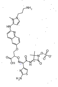 C[n+]1c(Nc2ccc3cc(OCC(O/N=C(\C(=O)N[C@@H]4C(=O)N(OS(=O)(=O)[O-])C4(C)C)c4csc(N)n4)C(=O)O)ccc3n2)ccn1CCCN